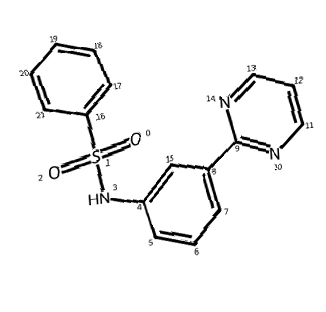 O=S(=O)(Nc1cccc(-c2ncccn2)c1)c1ccccc1